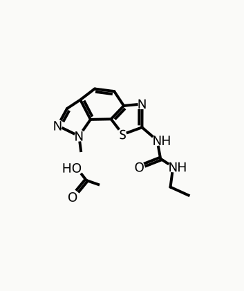 CC(=O)O.CCNC(=O)Nc1nc2ccc3cnn(C)c3c2s1